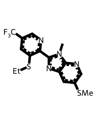 CCSc1cc(C(F)(F)F)cnc1-c1nc2cc(SC)cnc2n1C